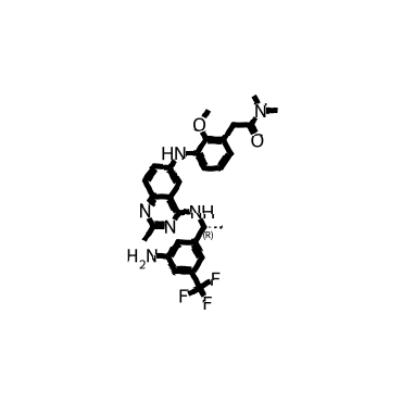 COc1c(CC(=O)N(C)C)cccc1Nc1ccc2nc(C)nc(N[C@H](C)c3cc(N)cc(C(F)(F)F)c3)c2c1